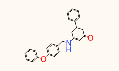 O=C1C=C(NCc2ccc(Oc3ccccc3)cc2)CC(c2ccccc2)C1